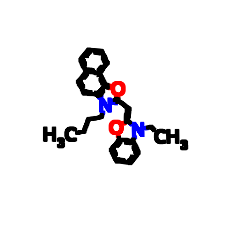 CCCC[n+]1c(C=C2Oc3ccccc3N2CC)oc2c3ccccc3ccc21